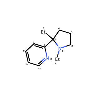 CCN1CCCC1(CC)c1ccccn1